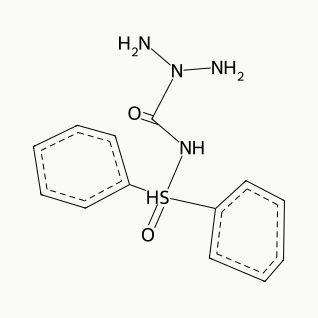 NN(N)C(=O)N[SH](=O)(c1ccccc1)c1ccccc1